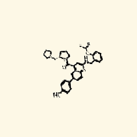 N#Cc1ccc(-c2ccc3nc(NCc4ccccc4OC(F)F)cc(C(=O)N4CCC[C@H]4CN4CCCC4)c3c2)cc1